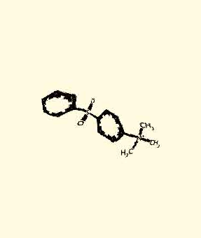 C[N+](C)(C)c1ccc(S(=O)(=O)c2ccccc2)cc1